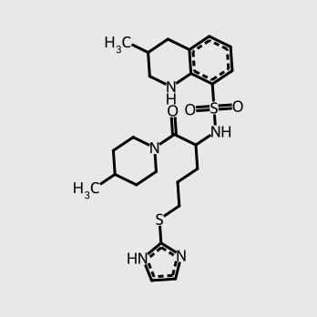 CC1CCN(C(=O)C(CCCSc2ncc[nH]2)NS(=O)(=O)c2cccc3c2NCC(C)C3)CC1